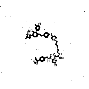 Cc1cc(-c2ccc(CCc3ccc(OC4CCN(CCCOCCN[C@H](C(=O)N5C[C@H](O)C[C@H]5C(=O)NCc5ccc(-c6scnc6C)cc5)C(C)(C)C)CC4)cc3)c(-c3ccc(Cl)c(C)c3)c2O)n(C)n1